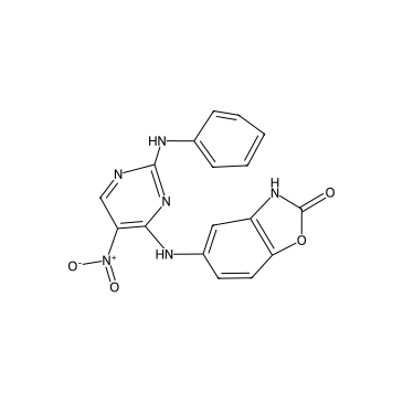 O=c1[nH]c2cc(Nc3nc(Nc4ccccc4)ncc3[N+](=O)[O-])ccc2o1